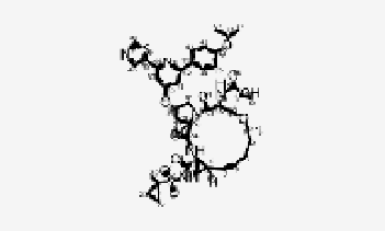 CC[C@@H]1O[C@H](C)CCC=C[C@@H]2C[C@@]2(C(=O)NS(=O)(=O)C2(C)CC2)NC(=O)[C@@H]2C[C@@H](Oc3cc(-c4ccc(OC(C)C)cc4)nc(-c4cncs4)c3)CN2C(=O)[C@H]1NC(=O)O